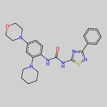 O=C(Nc1nc(-c2ccccc2)ns1)Nc1ccc(N2CCOCC2)cc1N1CCCCC1